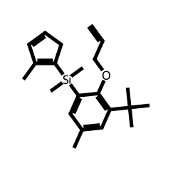 C=CCOc1c(C(C)(C)C)cc(C)cc1[Si](C)(C)C1=C(C)C=CC1